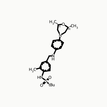 Cc1cc(CNc2ccc(N3C[C@@H](C)O[C@@H](C)C3)cc2)ccc1NS(=O)(=O)C(C)(C)C